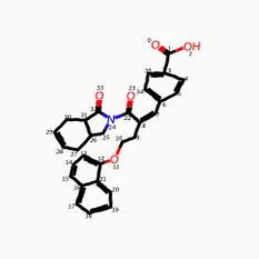 O=C(O)c1ccc(C=C(CCOc2cccc3ccccc23)C(=O)N2CC3CC=CCC3C2=O)cc1